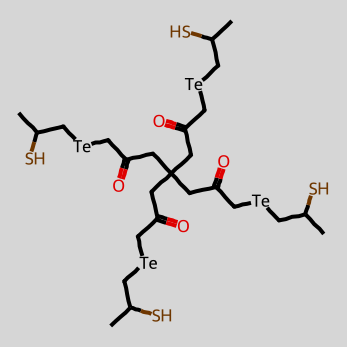 CC(S)C[Te]CC(=O)CC(CC(=O)C[Te]CC(C)S)(CC(=O)C[Te]CC(C)S)CC(=O)C[Te]CC(C)S